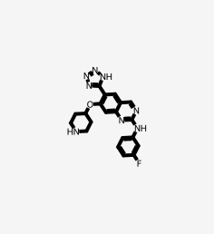 Fc1cccc(Nc2ncc3cc(-c4nnn[nH]4)c(OC4CCNCC4)cc3n2)c1